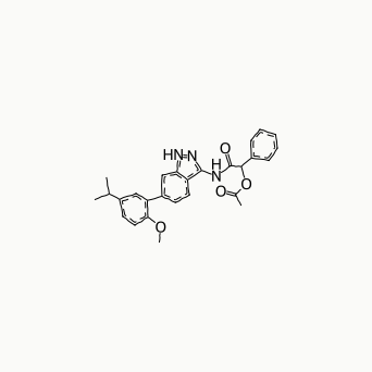 COc1ccc(C(C)C)cc1-c1ccc2c(NC(=O)C(OC(C)=O)c3ccccc3)n[nH]c2c1